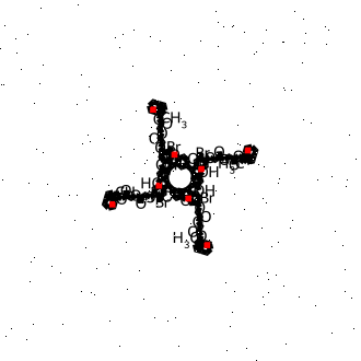 CC1(OC(=O)COC(=O)COc2ccc(C3c4cc(c(O)cc4O)C(c4ccc(OCC(=O)OCC(=O)OC5(C)C6CC7CC(C6)CC5C7)c(Br)c4)c4cc(c(O)cc4O)C(c4ccc(OCC(=O)OCC(=O)OC5(C)C6CC7CC(C6)CC5C7)c(Br)c4)c4cc(c(O)cc4O)C(c4ccc(OCC(=O)OCC(=O)OC5(C)C6CC7CC(C6)CC5C7)c(Br)c4)c4cc3c(O)cc4O)cc2Br)C2CC3CC(C2)CC1C3